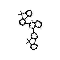 CC1(C)c2ccccc2-c2ccc(-c3nc(-c4cccc5c4-c4ccccc4C5(C)C)nc4ccccc34)cc21